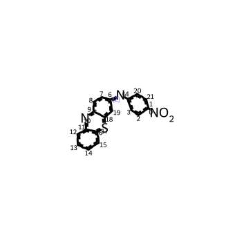 O=[N+]([O-])c1ccc(/N=c2/ccc3nc4ccccc4sc-3c2)cc1